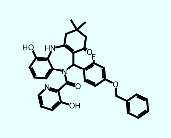 CC1(C)CC(=O)C2=C(C1)Nc1c(O)cccc1N(C(=O)c1ncccc1O)C2c1ccc(OCc2ccccc2)cc1F